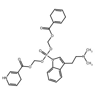 CN(C)CCc1cn(P(=O)(OCOC(=O)C2=CCC=CC2)OCOC(=O)C2=CNC=CC2)c2ccccc12